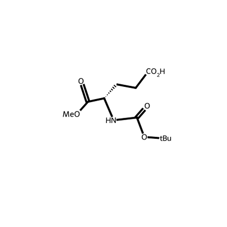 COC(=O)[C@H](CCC(=O)O)NC(=O)OC(C)(C)C